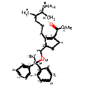 COC(=O)C1=C(CCCC(C)C(C)NC(C)=O)C(CO[Si](c2ccccc2)(c2ccccc2)C(C)(C)C)CC1